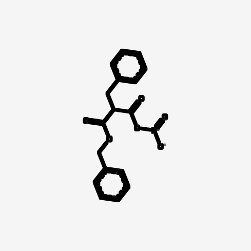 O=C(OCc1ccccc1)C(Cc1ccccc1)C(=O)O[N+](=O)[O-]